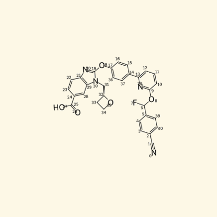 N#Cc1ccc(C(F)Oc2cccc(-c3ccc(Oc4nc5ccc(C(=O)O)cc5n4C[C@@H]4CCO4)cc3)n2)cc1